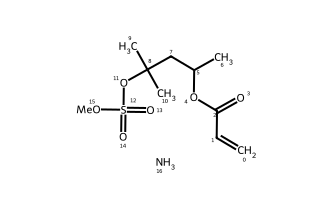 C=CC(=O)OC(C)CC(C)(C)OS(=O)(=O)OC.N